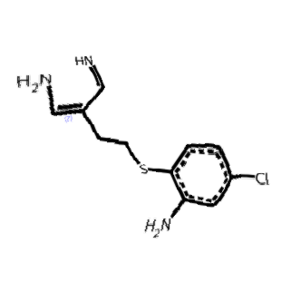 N=C/C(=C\N)CCSc1ccc(Cl)cc1N